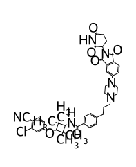 CC1(C)[C@H](NC(=O)c2ccc(CCCN3CCN(c4ccc5c(c4)C(=O)N(C4CCC(=O)NC4=O)C5=O)CC3)cc2)C(C)(C)[C@H]1Oc1ccc(C#N)c(Cl)c1